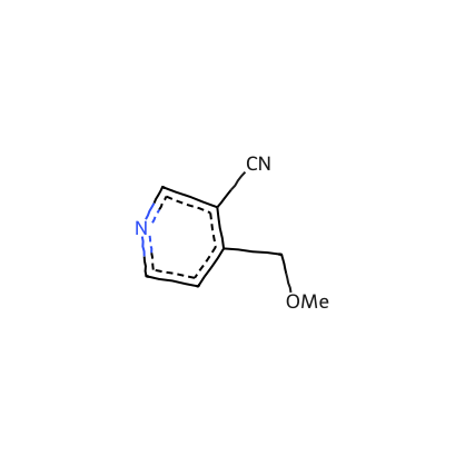 COCc1ccncc1C#N